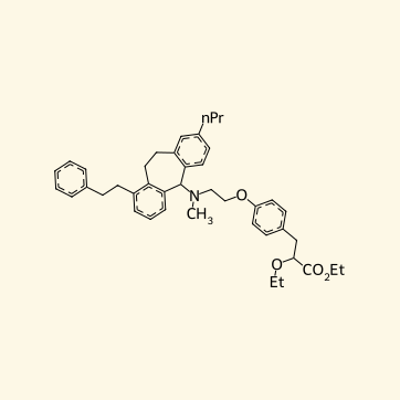 CCCc1ccc2c(c1)CCc1c(CCc3ccccc3)cccc1C2N(C)CCOc1ccc(CC(OCC)C(=O)OCC)cc1